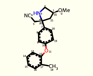 CO[C@@H]1CN[C@@](CC#N)(c2ccc(Oc3ccccc3C)cc2)C1